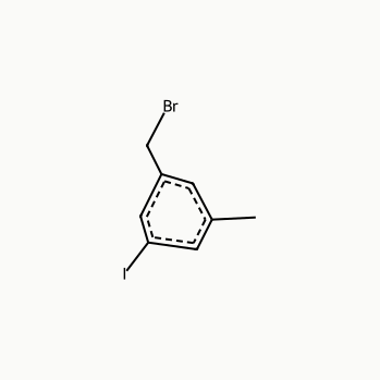 Cc1cc(I)cc(CBr)c1